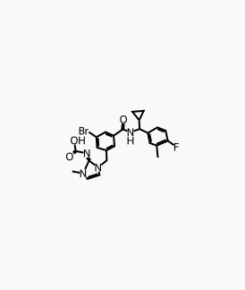 Cc1cc(C(NC(=O)c2cc(Br)cc(Cn3ccn(C)c3=NC(=O)O)c2)C2CC2)ccc1F